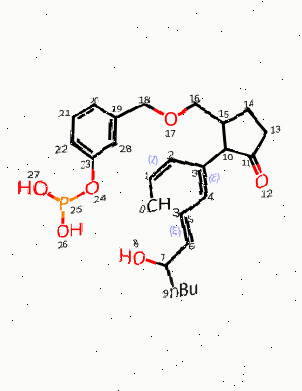 C\C=C/C(=C\C=C\C(O)CCCC)C1C(=O)CCC1COCc1cccc(OP(O)O)c1